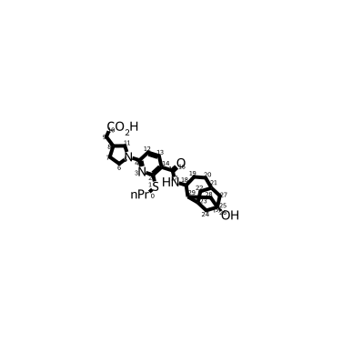 CCCSc1nc(N2CCC(CC(=O)O)C2)ccc1C(=O)NC1CCC2CC3C[C@@](O)(C2)CC31